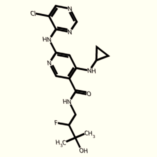 CC(C)(O)C(F)CNC(=O)c1cnc(Nc2ncncc2Cl)cc1NC1CC1